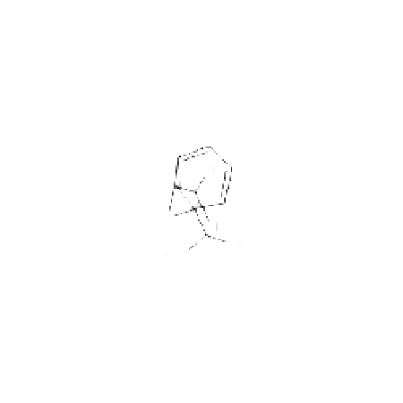 CC(C)C12C=CC=CC1(C(C)C)O2